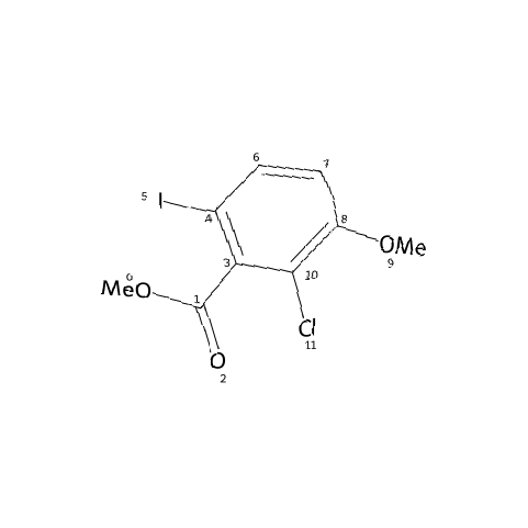 COC(=O)c1c(I)ccc(OC)c1Cl